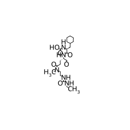 CCNC(=O)NCCN(C)C(=O)CC[C@@H](C=O)NC(=O)[C@H](CC1CCCCC1)NC(=O)O